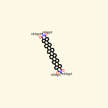 CCCCCCCC(CCCCCCC)N1C(=O)c2ccc3c4ccc5c6ccc7c8ccc9c%10ccc%11c%12ccc%13c%14c(ccc(c%15ccc(c%16ccc(c%17ccc(c%18ccc(c%19ccc(c2c3%19)C1=O)c4c5%18)c6c7%17)c8c9%16)c%10c%11%15)c%14%12)C(=O)N(C(CCCCCCC)CCCCCCC)C%13=O